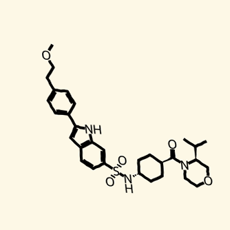 COCCc1ccc(-c2cc3ccc(S(=O)(=O)N[C@H]4CC[C@H](C(=O)N5CCOC[C@@H]5C(C)C)CC4)cc3[nH]2)cc1